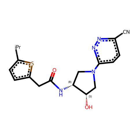 CC(C)c1ccc(CC(=O)N[C@@H]2CN(c3ccc(C#N)nn3)C[C@@H]2O)s1